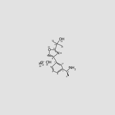 C[C@H](N)c1cccc(-c2noc(C(C)(C)O)n2)c1.Cl.[Cl-].[H+]